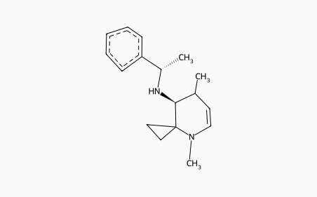 CC1C=CN(C)C2(CC2)[C@H]1N[C@@H](C)c1ccccc1